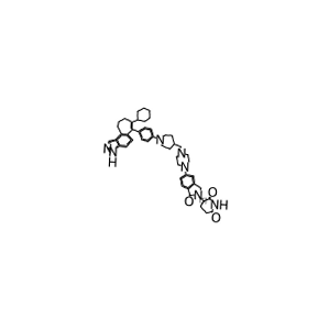 O=C1CC[C@H](N2Cc3cc(N4CCN(CC5CCN(c6ccc(C7=C(C8CCCCC8)CCCc8c7ccc7[nH]ncc87)cc6)CC5)CC4)ccc3C2=O)C(=O)N1